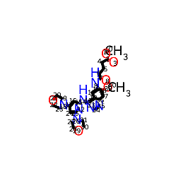 COC(=O)CCCC(=O)Nc1cc2c(Nc3cc(N4CCOCC4)cc(N4CCOCC4)n3)ncnc2cc1OC